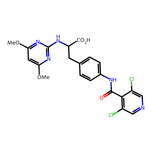 COc1cc(OC)nc(NC(Cc2ccc(NC(=O)c3c(Cl)cncc3Cl)cc2)C(=O)O)n1